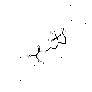 CC(C)C(=O)OCCC1CCC(C)C1(C)C